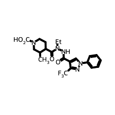 CCN(NC(=O)c1cn(-c2ccccc2)nc1C(F)(F)F)C(=O)C1CCN(C(=O)O)CC1C